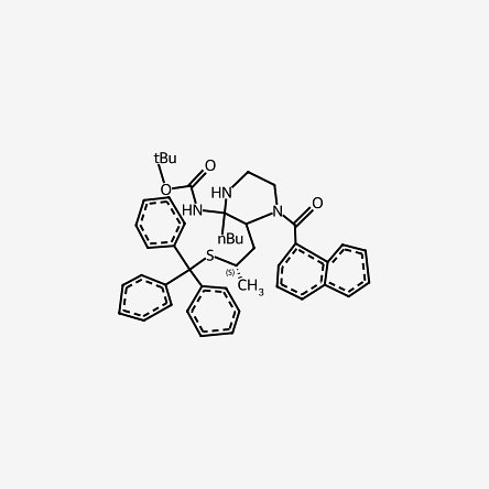 CCCCC1(NC(=O)OC(C)(C)C)NCCN(C(=O)c2cccc3ccccc23)C1C[C@H](C)SC(c1ccccc1)(c1ccccc1)c1ccccc1